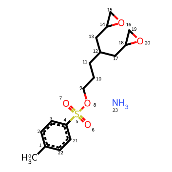 Cc1ccc(S(=O)(=O)OCCCC(CC2CO2)CC2CO2)cc1.N